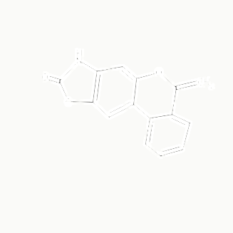 C=C1Oc2cc3[nH]c(=O)oc3cc2-c2ccccc21